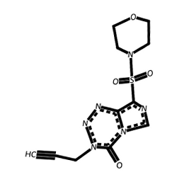 C#CCn1nnc2c(S(=O)(=O)N3CCOCC3)ncn2c1=O